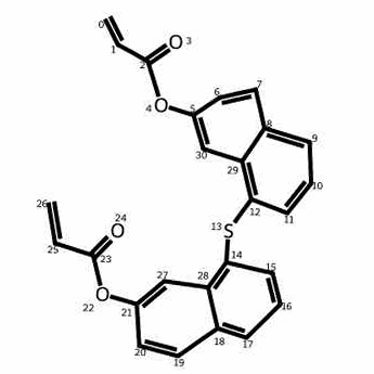 C=CC(=O)Oc1ccc2cccc(Sc3cccc4ccc(OC(=O)C=C)cc34)c2c1